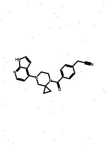 N#CCc1ccc(C(=O)N2CCN(c3ccnc4[nH]ccc34)CC23CC3)cc1